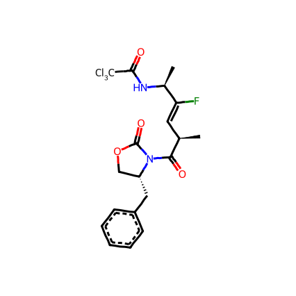 C[C@H](/C=C(\F)[C@H](C)NC(=O)C(Cl)(Cl)Cl)C(=O)N1C(=O)OC[C@H]1Cc1ccccc1